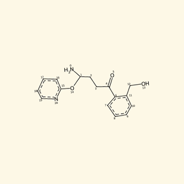 NC(CCC(=O)c1ccccc1CO)Oc1ccccn1